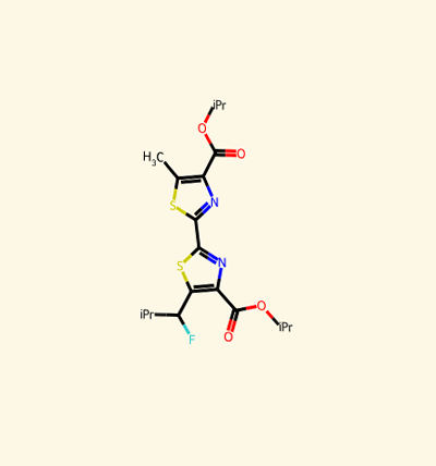 Cc1sc(-c2nc(C(=O)OC(C)C)c(C(F)C(C)C)s2)nc1C(=O)OC(C)C